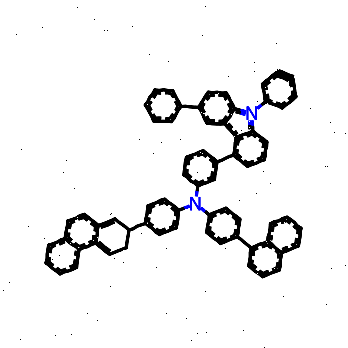 c1ccc(-n2c3ccc(-c4ccccc4)cc3c3c(-c4cccc(N(c5ccc(-c6cccc7ccccc67)cc5)c5ccc(C6C=c7ccc8ccccc8c7=CC6)cc5)c4)cccc32)cc#1